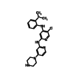 CP(C)c1ccccc1Nc1cc(Nc2cc(N3CCNCC3)ccn2)ncc1Cl